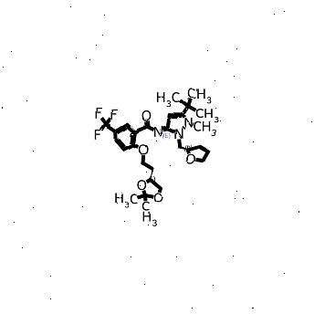 Cn1c(C(C)(C)C)c/c(=N\C(=O)c2cc(C(F)(F)F)ccc2OCC[C@H]2COC(C)(C)O2)n1C[C@H]1CCCO1